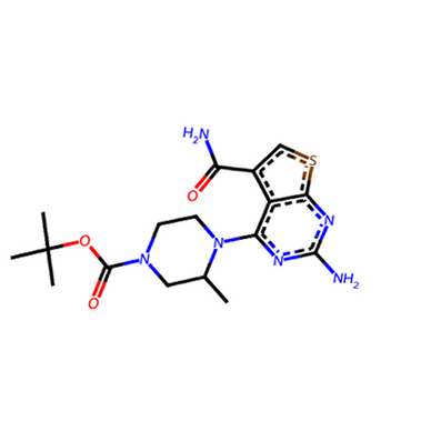 CC1CN(C(=O)OC(C)(C)C)CCN1c1nc(N)nc2scc(C(N)=O)c12